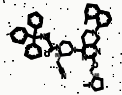 Cc1cccc2cccc(N3CCc4c(nc(OC[C@@H]5CCCN5C)nc4N4CCN(C(=O)C5CN5C(c5ccccc5)(c5ccccc5)c5ccccc5)[C@@H](CC#N)C4)C3)c12